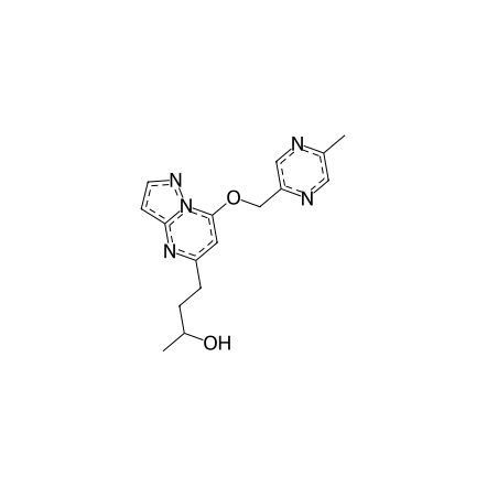 Cc1cnc(COc2cc(CCC(C)O)nc3ccnn23)cn1